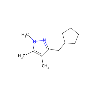 Cc1c(CC2CCCC2)nn(C)c1C